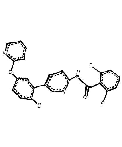 O=C(Nc1ccc(-c2cc(Oc3ccccn3)ccc2Cl)cn1)c1c(F)cccc1F